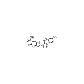 COc1ccc(NC(=O)N(C)c2cc3oc(=O)c(C(=O)O)cc3s2)c(OC)c1